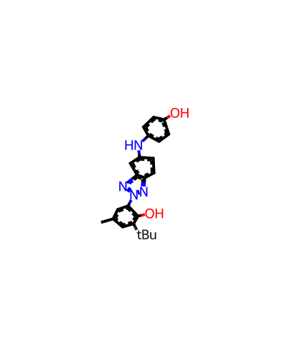 Cc1cc(-n2nc3ccc(Nc4ccc(O)cc4)cc3n2)c(O)c(C(C)(C)C)c1